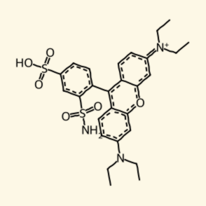 CCN(CC)c1ccc2c(-c3ccc(S(=O)(=O)O)cc3S(N)(=O)=O)c3ccc(=[N+](CC)CC)cc-3oc2c1